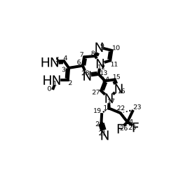 CN/C=C(\C=N)c1cc2nccn2c(-c2cnn([C@@H](CC#N)[C@@H]3CC3(F)F)c2)n1